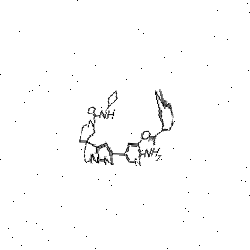 C[C@@H](Oc1cc(-c2cc3n(n2)CCC32CCN(C(=O)NC3CCC3)C2)cnc1N)c1cccnc1